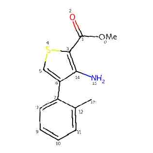 COC(=O)c1scc(-c2ccccc2C)c1N